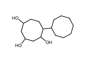 OC1CCC(C2CCCCCCC2)C(O)CC(O)C1